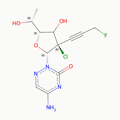 C[C@@H](O)[C@H]1O[C@@H](n2ncc(N)nc2=O)[C@@](Cl)(C#CCF)C1O